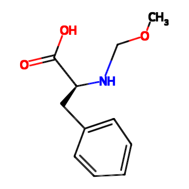 COCN[C@@H](Cc1ccccc1)C(=O)O